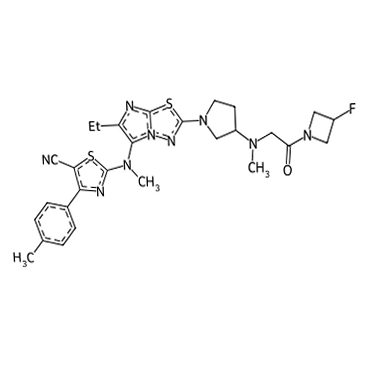 CCc1nc2sc(N3CCC(N(C)CC(=O)N4CC(F)C4)C3)nn2c1N(C)c1nc(-c2ccc(C)cc2)c(C#N)s1